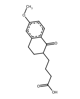 COc1ccc2c(c1)CCC(CCCC(=O)O)C2=O